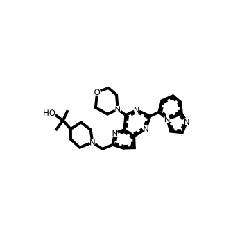 CC(C)(O)C1CCN(Cc2ccc3nc(-c4cccc5nccn45)nc(N4CCOCC4)c3n2)CC1